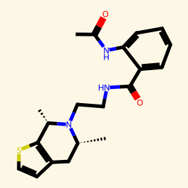 CC(=O)Nc1ccccc1C(=O)NCCN1[C@H](C)Cc2ccsc2[C@@H]1C